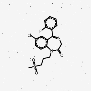 CS(=O)(=O)CCCN1C(=O)CN=C(c2ccccc2F)c2cc(Cl)ccc21